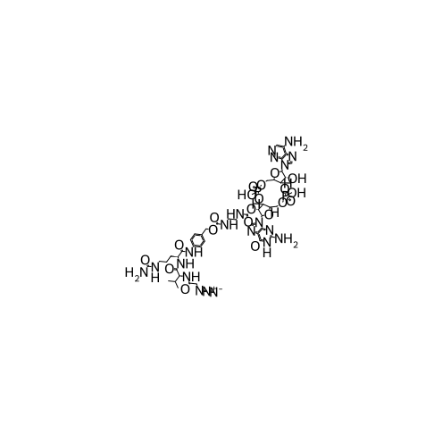 CC(C)[C@H](NC(=O)CN=[N+]=[N-])C(=O)N[C@@H](CCCNC(N)=O)C(=O)Nc1ccc(COC(=O)NCCNC(=O)O[C@@H]2[C@@H]3OP(=O)(O)OCC4O[C@@H](n5cnc6c(N)cnnc65)[C@H](O)[C@@H]4OP(=O)(O)OC[C@H]3O[C@H]2n2cnc3c(=O)[nH]c(N)nc32)cc1